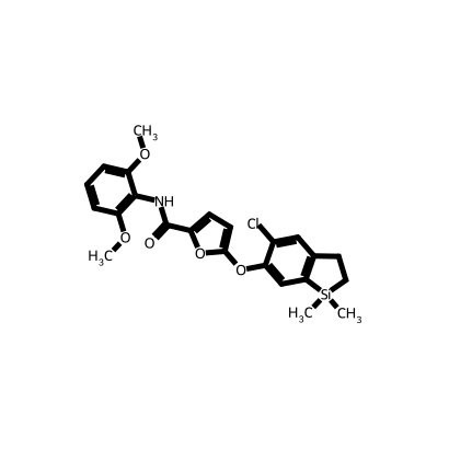 COc1cccc(OC)c1NC(=O)c1ccc(Oc2cc3c(cc2Cl)CC[Si]3(C)C)o1